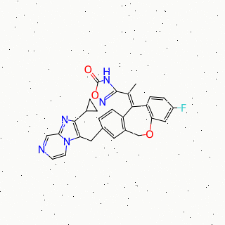 C/C(=C1/c2ccc(Cc3c(C4CC4)nc4cnccn34)cc2COc2cc(F)ccc21)c1noc(=O)[nH]1